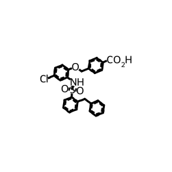 O=C(O)c1ccc(COc2ccc(Cl)cc2NS(=O)(=O)c2ccccc2Cc2ccccc2)cc1